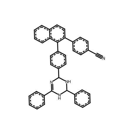 N#Cc1ccc(-c2ccc3ccccc3c2-c2ccc(C3N=C(c4ccccc4)NC(c4ccccc4)N3)cc2)cc1